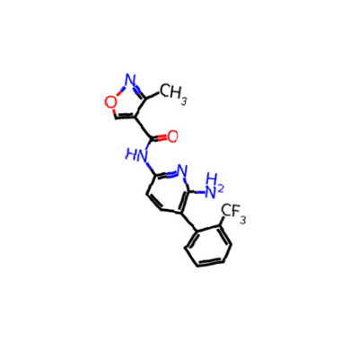 Cc1nocc1C(=O)Nc1ccc(-c2ccccc2C(F)(F)F)c(N)n1